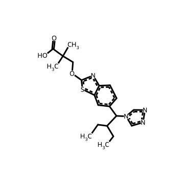 CCC(CC)C(c1ccc2nc(OCC(C)(C)C(=O)O)sc2c1)n1cnnc1